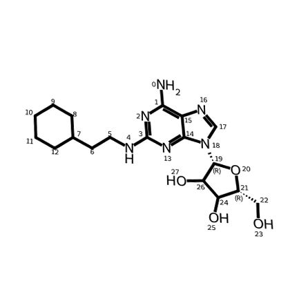 Nc1nc(NCCC2CCCCC2)nc2c1ncn2[C@@H]1O[C@H](CO)C(O)C1O